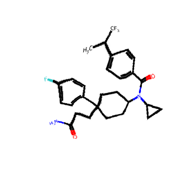 CC(c1ccc(C(=O)N(C2CC2)C2CCC(CCC(N)=O)(c3ccc(F)cc3)CC2)cc1)C(F)(F)F